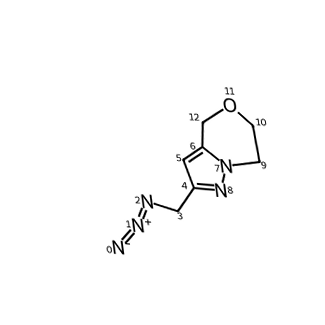 [N-]=[N+]=NCc1cc2n(n1)CCOC2